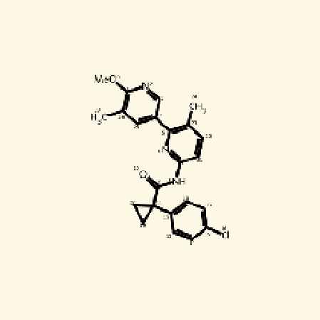 COc1ncc(-c2nc(NC(=O)C3(c4ccc(Cl)cc4)CC3)ccc2C)cc1C